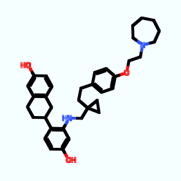 Oc1ccc2c(c1)CCC(c1ccc(O)cc1NCC1(CCc3ccc(OCCN4CCCCCC4)cc3)CC1)C2